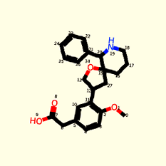 COc1ccc(CC(=O)O)cc1C1COC2(CCCNC2c2ccccc2)C1